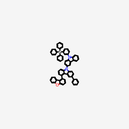 c1ccc(-c2ccc3c(c2)c2c(-c4cccc5oc6ccccc6c45)cccc2n3-c2ccc3c(c2)c2ccccc2n3-c2cccc([Si](c3ccccc3)(c3ccccc3)c3ccccc3)c2)cc1